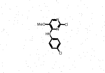 COc1cnc(Cl)nc1Nc1ccc(Cl)cc1